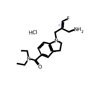 CCN(CC)C(=O)c1ccc2c(c1)CCN2C/C(=C/F)CN.Cl